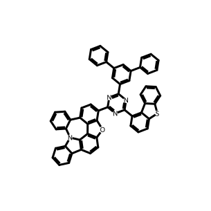 c1ccc(-c2cc(-c3ccccc3)cc(-c3nc(-c4ccc5c6ccccc6n6c7ccccc7c7ccc8oc4c5c8c76)nc(-c4cccc5sc6ccccc6c45)n3)c2)cc1